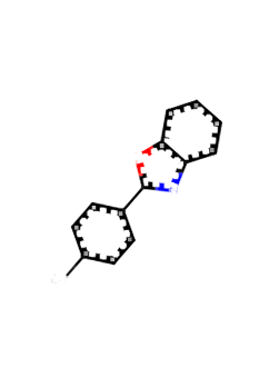 CCCCc1ccc(-c2nc3ccccc3o2)cc1